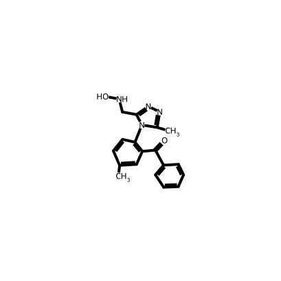 Cc1ccc(-n2c(C)nnc2CNO)c(C(=O)c2ccccc2)c1